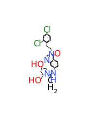 C=C(Nc1ccc2c(=O)n(CCc3ccc(Cl)cc3Cl)cnc2c1)N1C[C@H](O)C[C@@H]1CO